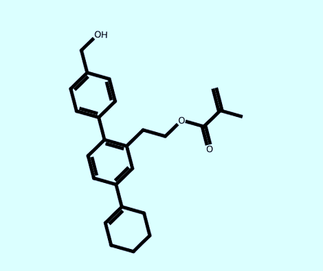 C=C(C)C(=O)OCCc1cc(C2=CCCCC2)ccc1-c1ccc(CO)cc1